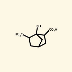 NC12CC(CC1C(=O)O)CC2C(=O)O